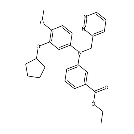 CCOC(=O)c1cccc(N(Cc2cccnn2)c2ccc(OC)c(OC3CCCC3)c2)c1